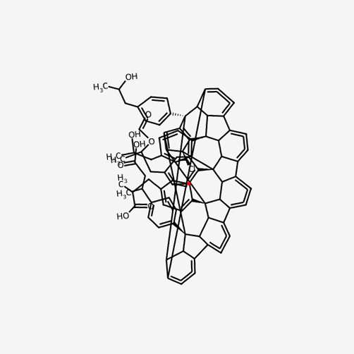 CC(O)Cc1ccc([C@@]23C4=C5[C@]6(c7ccc(CC(C)O)cc7)C7C8=C=C=C(C9=C=C=C%10C%11=C=C=C%12C%13=C=C=C%14C%15=C=C=C8C6C%15[C@]6(c8ccc(CC(C)OC=O)cc8)C%14C%13[C@@]8(c%13ccc(CC(C)C(=O)O)cc%13)C(=C4[C@@](c4ccc(C(C)CC(=O)O)cc4)(C%10C92)C%11C%128)[C@]56Cl)C73)cc1